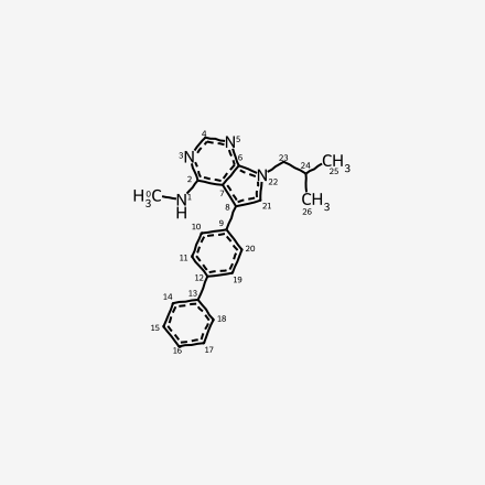 CNc1ncnc2c1c(-c1ccc(-c3ccccc3)cc1)cn2CC(C)C